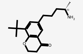 C[C@H](N)CCCc1cc2c(c(C(C)(C)C)c1)OCCC2=O